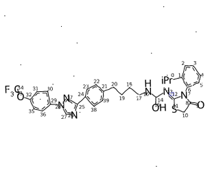 CC(C)c1ccccc1N1C(=O)CS/C1=N\C(O)NCCCCc1ccc(-c2ncn(-c3ccc(OC(F)(F)F)cc3)n2)cc1